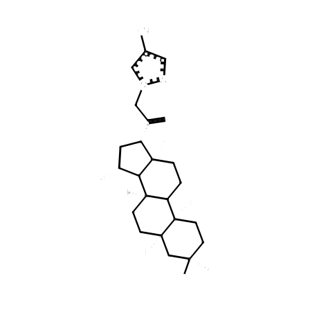 C[C@@H]1C[C@H](C(=O)Cn2cc(C#N)cn2)[C@@]2(C)CCC3[C@@H](CC[C@@H]4C[C@](C)(O)CC[C@H]34)C12